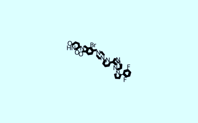 O=C1CCC(N2Cc3c(ccc(CN4CCN(c5cccc(-c6cnn7ccc(N8CCC[C@@H]8c8cc(F)ccc8F)nc67)n5)CC4)c3Br)C2=O)C(=O)N1